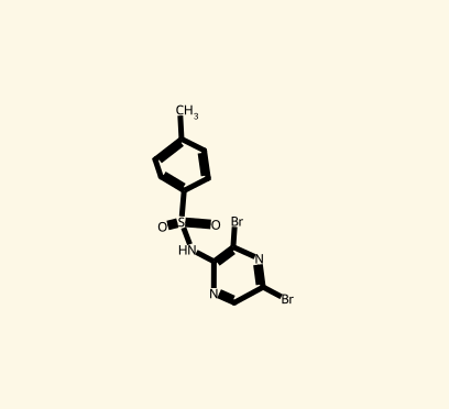 Cc1ccc(S(=O)(=O)Nc2ncc(Br)nc2Br)cc1